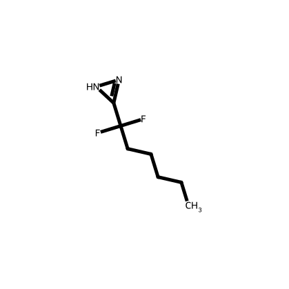 CCCCCC(F)(F)C1=NN1